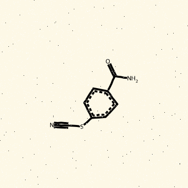 N#CSc1ccc(C(N)=O)cc1